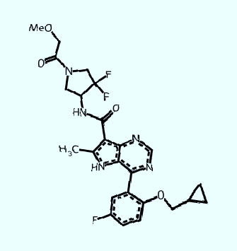 COCC(=O)N1CC(NC(=O)c2c(C)[nH]c3c(-c4cc(F)ccc4OCC4CC4)ncnc23)C(F)(F)C1